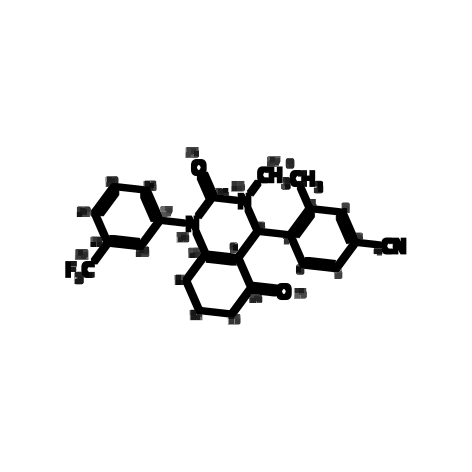 Cc1cc(C#N)ccc1C1C2=C(CCCC2=O)N(c2cccc(C(F)(F)F)c2)C(=O)N1C